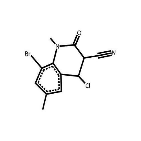 Cc1cc(Br)c2c(c1)C(Cl)C(C#N)C(=O)N2C